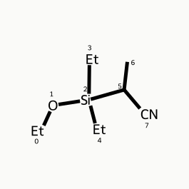 CCO[Si](CC)(CC)C(C)C#N